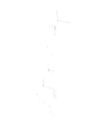 CC(C)C(=O)OCCOC(=O)Nc1ccc(N=C=O)cc1